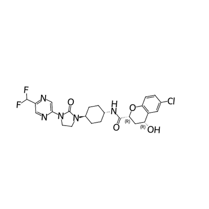 O=C(N[C@H]1CC[C@H](N2CCN(c3cnc(C(F)F)cn3)C2=O)CC1)[C@H]1C[C@@H](O)c2cc(Cl)ccc2O1